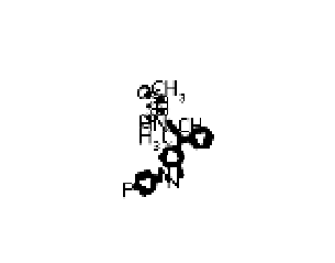 CC(C)(CNS(=O)(=O)CS(C)(=O)=O)C(c1ccccc1)c1ccc2c(cnn2-c2ccc(F)cc2)c1